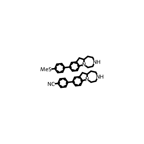 CSc1ccc(-c2ccc3c(c2)CC2CCNCCN32)cc1.N#Cc1ccc(-c2ccc3c(c2)CC2CCNCCN32)cc1